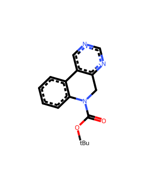 CC(C)(C)OC(=O)N1Cc2ncncc2-c2ccccc21